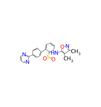 Cc1noc(NC2C=CC=C(c3ccc(-c4ncccn4)cc3)C2=S(=O)=O)c1C